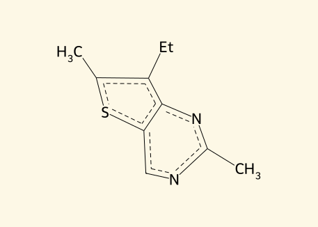 CCc1c(C)sc2cnc(C)nc12